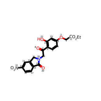 CCOC(=O)COc1ccc(C(=O)CN2Cc3cc([N+](=O)[O-])ccc3C2=O)c(O)c1